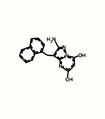 Nc1nn2c(O)cc(O)nc2c1Cc1cccc2ccccc12